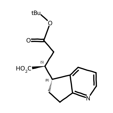 CC(C)(C)OC(=O)C[C@H](C(=O)O)[C@H]1CCc2ncccc21